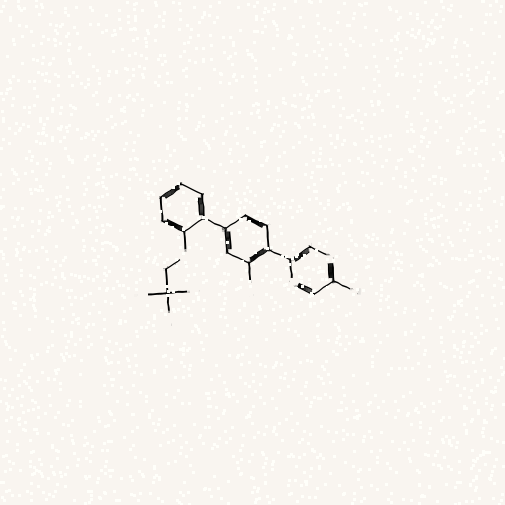 Nc1cnc(-c2ccc(-c3ccccc3OCC(F)(F)F)cc2F)cn1